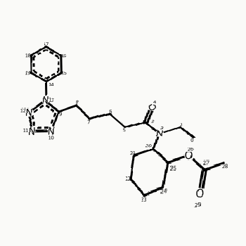 CCN(C(=O)CCCCc1nnnn1-c1ccccc1)C1CCCCC1OC(C)=O